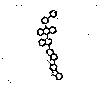 c1ccc(-c2cccc(-c3c4ccccc4c(-c4ccc(-c5ccc6c(ccc7c8cc9c(cc8sc67)sc6ccccc69)c5)c5ccccc45)c4ccccc34)c2)cc1